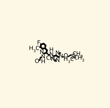 Cc1c(F)ccc2cc(C(C)Nc3ncnc4c3ncn4COCC[Si](C)(C)C)c(NCC=O)nc12